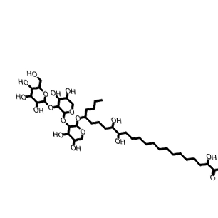 CCCCC(CCCC(O)C(O)CCCCCCCCCCCCC(O)C(=O)O)OC1OCC(O)C(O)C1OC1OCC(O)C(O)C1OC1OC(CO)C(O)C(O)C1O